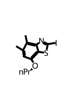 CCCOc1cc(C)c(C)c2nc(I)sc12